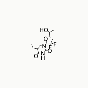 CCc1cn([C@@H]2O[C@H]([C@H](C)O)CC2(F)F)c(=O)[nH]c1=O